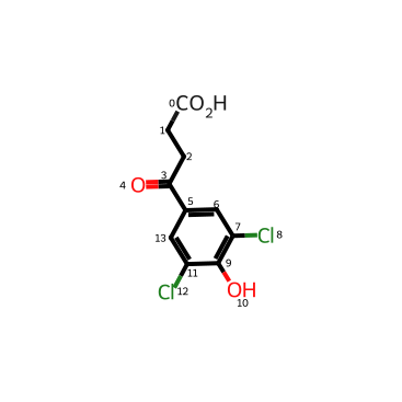 O=C(O)CCC(=O)c1cc(Cl)c(O)c(Cl)c1